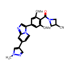 COc1cc(-c2cnc3cc(-c4cnn(C)c4)ccn23)cc(OC)c1C(=O)N1CC(C#N)C1